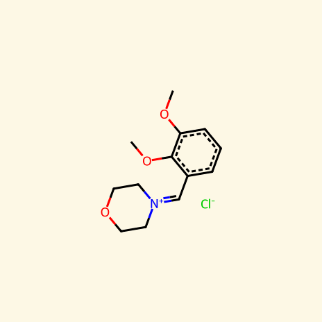 COc1cccc(C=[N+]2CCOCC2)c1OC.[Cl-]